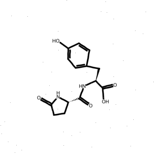 O=C1CC[C@@H](C(=O)N[C@@H](Cc2ccc(O)cc2)C(=O)O)N1